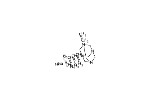 C1N2CN3CN1CN(C2)C3.C=C.C=C.C=C.C=C.C=C.[NaH]